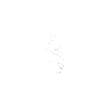 CNC(=O)CNc1nc2cc(N/C(=N/[C@H]3CC4C[C@H](C3C)C4(C)C)N3CC(O)C3)ccc2c(=O)n1CCc1ccc(Cl)cc1Cl